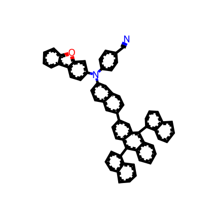 N#Cc1ccc(N(c2ccc3cc(-c4ccc5c(-c6cccc7ccccc67)c6ccccc6c(-c6cccc7ccccc67)c5c4)ccc3c2)c2ccc3c(c2)oc2ccccc23)cc1